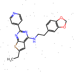 CCc1cc2c(NCCc3ccc4c(c3)OCO4)nc(-c3ccncc3)nc2s1